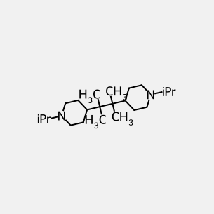 CC(C)N1CCC(C(C)(C)C(C)(C)C2CCN(C(C)C)CC2)CC1